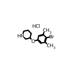 Cc1cc(OC2CCCNC2)cc(C)c1Br.Cl